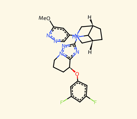 COc1cc(N2C[C@H]3CC[C@@H](C2)C3Nc2nc3n(n2)CCC[C@@H]3Oc2cc(F)cc(F)c2)cnn1